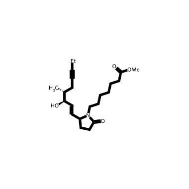 CCC#CC[C@@H](C)[C@H](O)/C=C/C1CCC(=O)N1CCCCCCC(=O)OC